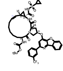 CC(C)(C)OC(=O)N[C@H]1CCCCC/C=C\[C@@H]2C[C@@]2(C(=O)NS(=O)(=O)C2CC2)NC(=O)[C@@H]2C[C@@H](Oc3cc(-c4cccc(C(F)(F)F)c4)nc4c3oc3ccccc34)CN2C1=O